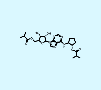 CC(C)C(=O)OCC1OC(n2cnc3c(NC4CCC[C@@H]4OC(=O)C(C)C)ncnc32)[C@H](O)[C@@H]1O